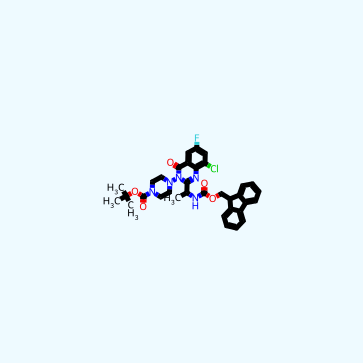 CC(NC(=O)OCC1c2ccccc2-c2ccccc21)c1nc2c(Cl)cc(F)cc2c(=O)n1N1CCN(C(=O)OC(C)(C)C)CC1